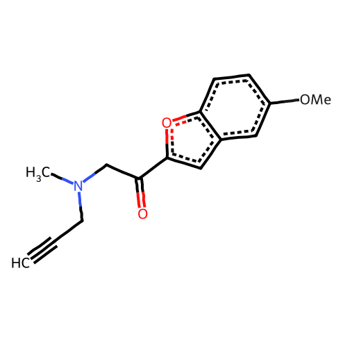 C#CCN(C)CC(=O)c1cc2cc(OC)ccc2o1